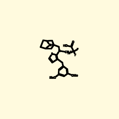 COc1cc(Cc2ccsc2N(CC2CC3CCC(C2)N3)C(=O)O)cc(OC)c1.O=C(O)C(F)(F)F